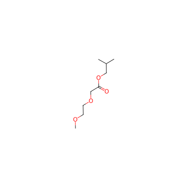 COCCOCC(=O)OCC(C)C